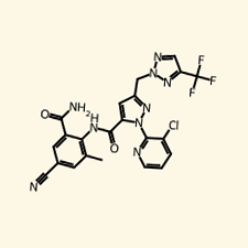 Cc1cc(C#N)cc(C(N)=O)c1NC(=O)c1cc(Cn2ncc(C(F)(F)F)n2)nn1-c1ncccc1Cl